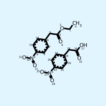 CCOC(=O)Cc1ccc([N+](=O)[O-])cc1.O=C(O)Cc1ccc([N+](=O)[O-])cc1